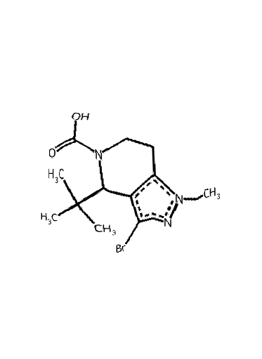 Cn1nc(Br)c2c1CCN(C(=O)O)C2C(C)(C)C